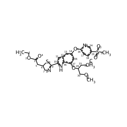 CCOC(=O)CC1CN=C(c2cc3cc(Oc4ccc(S(C)(=O)=O)cn4)cc(OC(COC)COC)c3[nH]2)S1